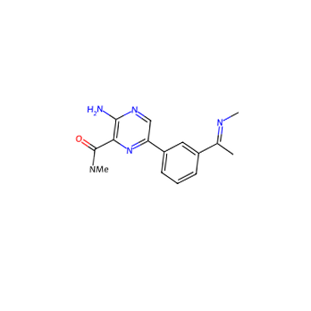 CN=C(C)c1cccc(-c2cnc(N)c(C(=O)NC)n2)c1